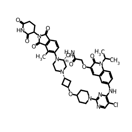 Cc1c(N2CCN([C@H]3C[C@H](OC4CCN(c5ncc(Cl)c(Nc6ccc7c(c6)cc(OCC(N)=O)c(=O)n7C(C)C)n5)CC4)C3)C[C@H]2C)ccc2c1C(=O)N(C1CCC(=O)NC1=O)C2=O